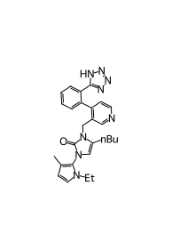 CCCCc1cn(-c2c(C)ccn2CC)c(=O)n1Cc1cnccc1-c1ccccc1-c1nnn[nH]1